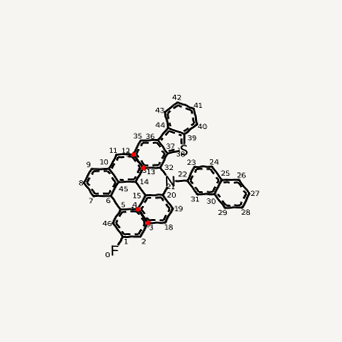 Fc1cccc(-c2cccc3cccc(-c4ccccc4N(c4ccc5ccccc5c4)c4cccc5c4sc4ccccc45)c23)c1